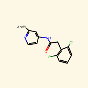 CC(=O)Nc1cc(NC(=O)Cc2c(F)cccc2Cl)ccn1